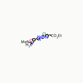 CCOC(=O)/C=C/c1cnc(N2CCN(c3ncc(-c4cccc(CN(C)C(=O)CNC)c4)cn3)CC2)c(Cl)c1